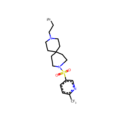 CC(C)CCN1CCC2(CC1)CCN(S(=O)(=O)c1ccc(C(F)(F)F)nc1)CC2